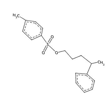 Cc1ccc(S(=O)(=O)OCCCC(C)c2ccccc2)cc1